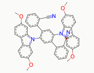 COc1ccc2c3ccc(OC)cc3n(-c3cc(-c4ccccc4C#N)c(-n4c5cc(OC)ccc5c5ccc(OC)cc54)cc3-c3ccccc3C#N)c2c1